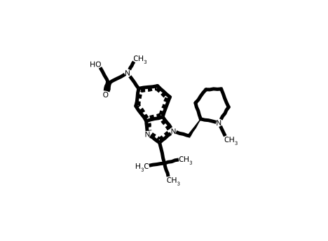 CN(C(=O)O)c1ccc2c(c1)nc(C(C)(C)C)n2C[C@H]1CCCCN1C